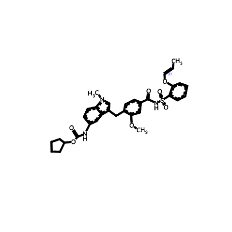 C/C=C/Oc1ccccc1S(=O)(=O)NC(=O)c1ccc(Cc2cn(C)c3ccc(NC(=O)OC4CCCC4)cc23)c(OC)c1